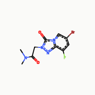 CN(C)C(=O)Cn1nc2c(F)cc(Br)cn2c1=O